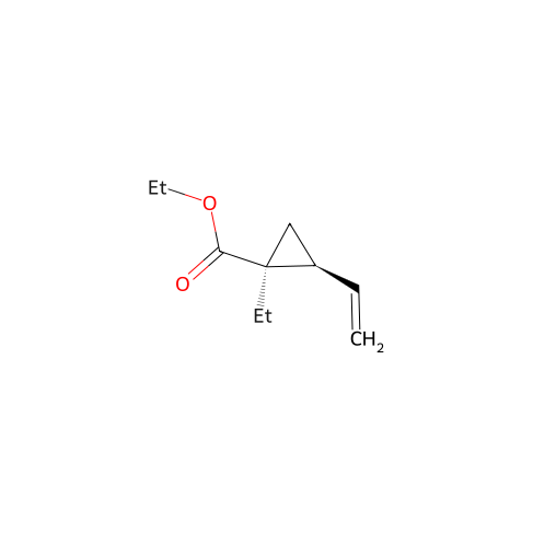 C=C[C@@H]1C[C@]1(CC)C(=O)OCC